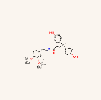 CC(CCC(=O)NCCc1ccc(O[Si](C)(C)C(C)(C)C)c(O[Si](C)(C)C(C)(C)C)c1)(c1ccc(O)cc1)c1ccc(O)cc1